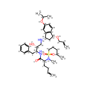 C=CCC[C@@H](C(=O)N[C@@H](Cc1ccccc1)[C@H](O)CN[C@H]1C[C@@H](OCC=C)c2ccc(OC(C)C)cc21)N(C)S(=O)(=O)CCCCC